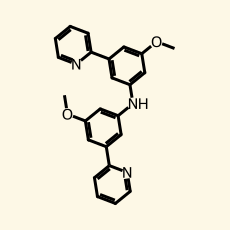 COc1cc(Nc2cc(OC)cc(-c3ccccn3)c2)cc(-c2ccccn2)c1